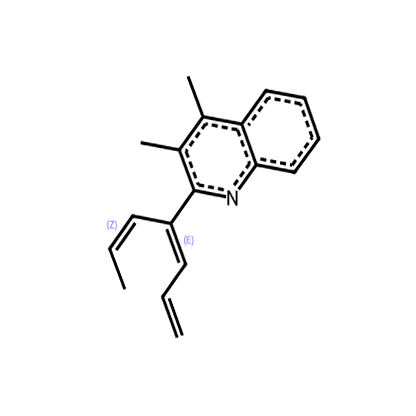 C=C/C=C(\C=C/C)c1nc2ccccc2c(C)c1C